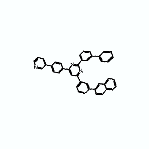 c1ccc(-c2cccc(-c3nc(-c4ccc(-c5cccnc5)cc4)cc(-c4cccc(-c5ccc6ccccc6c5)c4)n3)c2)cc1